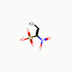 CC=C([N+](=O)[O-])S(=O)(=O)O